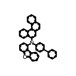 c1ccc(-c2ccc(N(c3cc4ccc5ccccc5c4c4ccccc34)c3cccc4oc5ccccc5c34)cc2)cc1